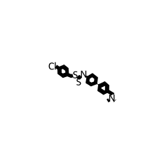 CN(C)Cc1ccc([C@H]2CC[C@H](N(C)C(=S)SCc3ccc(Cl)cc3)CC2)cc1